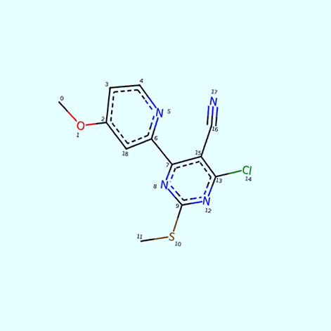 COc1ccnc(-c2nc(SC)nc(Cl)c2C#N)c1